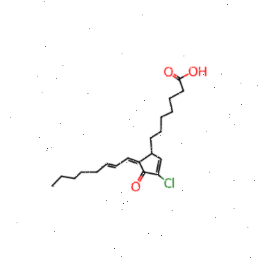 CCCCCC=CC=C1C(=O)C(Cl)=CC1CCCCCCC(=O)O